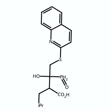 CC(C)CC(C(=O)O)C(O)(CSc1ccc2ccccc2n1)[PH2]=O